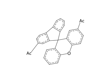 CC(=O)c1ccc2c(c1)C1(c3ccccc3O2)c2ccccc2-c2ccc(C(C)=O)cc21